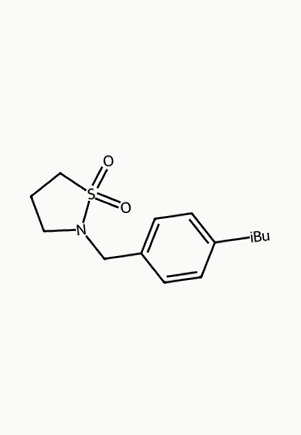 CCC(C)c1ccc(CN2CCCS2(=O)=O)cc1